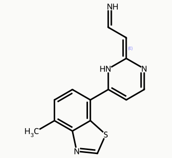 Cc1ccc(C2=CC=N/C(=C/C=N)N2)c2scnc12